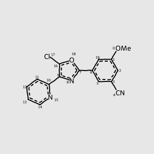 COc1cc(C#N)cc(-c2nc(-c3ccccn3)c(Cl)o2)c1